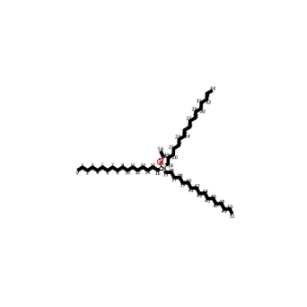 CCCCCCCCCCCCCCCCC[Si](CCCCCCCCCCCCCCCCC)(CCCCCCCCCCCCCCCCC)OCC